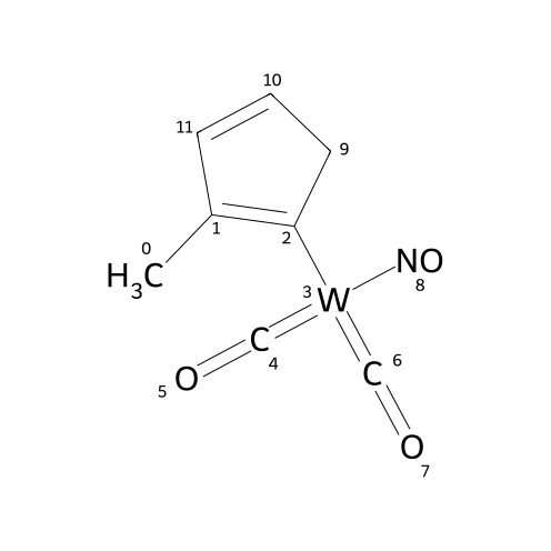 CC1=[C]([W](=[C]=O)(=[C]=O)[N]=O)CC=C1